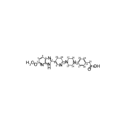 COc1ccc2nc(C3=CN=C(N4CCN(c5ccc(CC(=O)O)cc5)CC4)CC3)[nH]c2n1